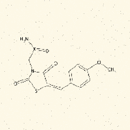 COc1ccc(C=C2SC(=O)N(CC(N)=O)C2=O)cc1